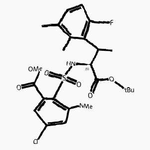 CNc1cc(Cl)cc(C(=O)OC)c1S(=O)(=O)N[C@H](C(=O)OC(C)(C)C)C(C)c1c(F)ccc(C)c1C